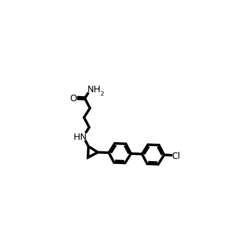 NC(=O)CCCNC1CC1c1ccc(-c2ccc(Cl)cc2)cc1